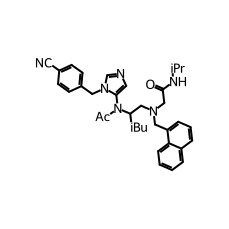 CCC(C)C(CN(CC(=O)NC(C)C)Cc1cccc2ccccc12)N(C(C)=O)c1cncn1Cc1ccc(C#N)cc1